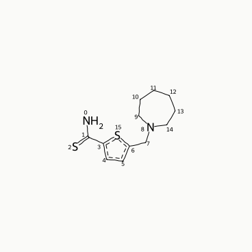 NC(=S)c1ccc(CN2CCCCCC2)s1